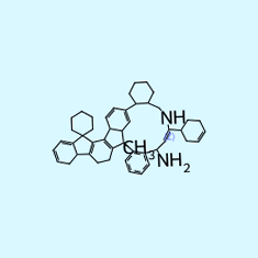 CC12C3=C(C4=C(CC3)C3CC=CC=C3C43CCCCC3)C3C=CC(=CC31)C1CCCCC1CN/C(C1CC=CCC1)=C\C(N)c1ccccc12